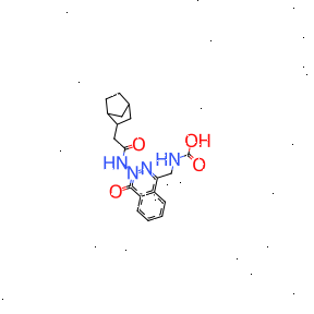 O=C(O)NCc1nn(NC(=O)CC2CC3CCC2C3)c(=O)c2ccccc12